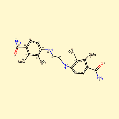 COc1c(C(N)=O)ccc(NCCNc2ccc(C(N)=O)c(OC)c2[N+](=O)[O-])c1[N+](=O)[O-]